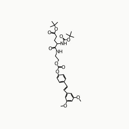 COc1cc(C=Cc2ccc(OC(=O)OCCNC(=O)C(CCC(=O)OC(C)(C)C)NC(=O)OC(C)(C)C)cc2)cc(OC)c1